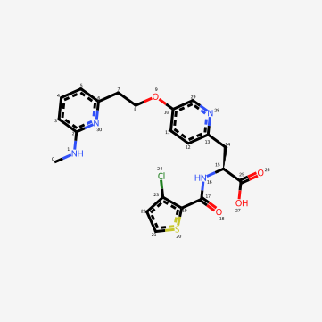 CNc1cccc(CCOc2ccc(C[C@H](NC(=O)c3sccc3Cl)C(=O)O)nc2)n1